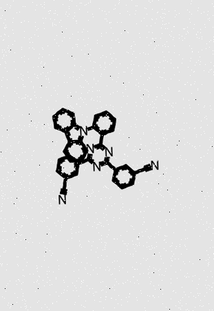 N#Cc1cccc(-c2nc(-c3cccc(C#N)c3)nc(-c3ccccc3-n3c4ccccc4c4ccccc43)n2)c1